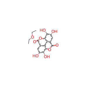 CCOCC.O=c1oc2c(O)c(O)cc3c(=O)oc4c(O)c(O)cc1c4c23